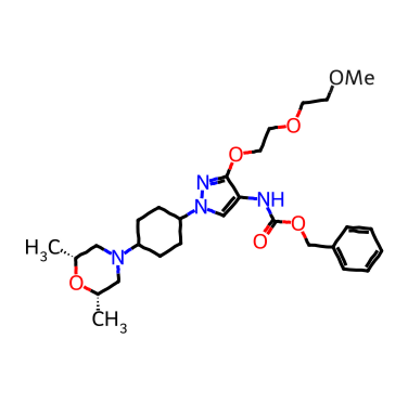 COCCOCCOc1nn(C2CCC(N3C[C@@H](C)O[C@@H](C)C3)CC2)cc1NC(=O)OCc1ccccc1